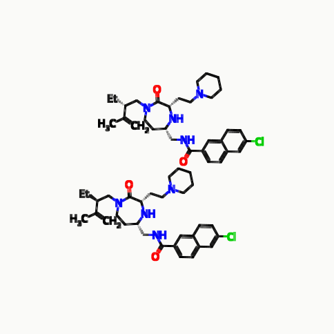 C=C(C)[C@@H](CC)CN1CC[C@@H](CNC(=O)c2ccc3cc(Cl)ccc3c2)N[C@@H](CCN2CCCCC2)C1=O.C=C(C)[C@H](CC)CN1CC[C@@H](CNC(=O)c2ccc3cc(Cl)ccc3c2)N[C@@H](CCN2CCCCC2)C1=O